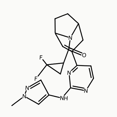 Cn1cc(Nc2nccc(C3=CC4CCC(C3)N4C(=O)C3CC3(F)F)n2)cn1